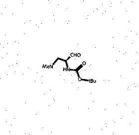 CNC[C@@H](C=O)NC(=O)OC(C)(C)C